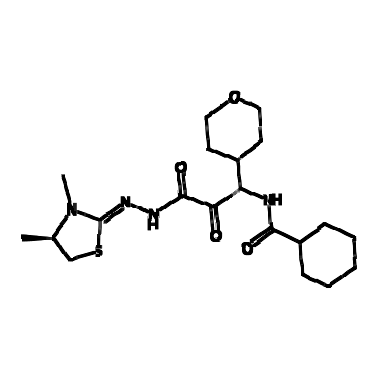 C[C@@H]1CS/C(=N\NC(=O)C(=O)C(NC(=O)C2CCCCC2)C2CCOCC2)N1C